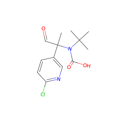 CC(C)(C)N(C(=O)O)C(C)(C=O)c1ccc(Cl)nc1